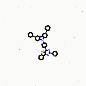 c1ccc(-c2ccc3c(c2)c2cc(-c4ccccc4)ccc2n3-c2ccc(-c3nc(-c4ccccc4)nc4c3oc3ccccc34)cc2)cc1